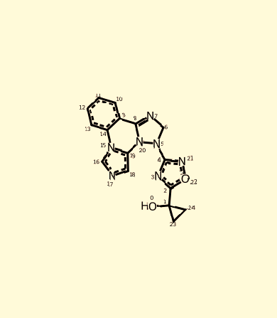 OC1(c2nc(N3CN=C4c5ccccc5-n5cncc5N43)no2)CC1